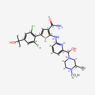 CC(C)(O)c1cc(F)c(-c2cc(C(N)=O)c(Nc3cccc(C(O)N4CCN(C(=O)O)C(C(C)(C)C)C4)n3)s2)c(F)c1